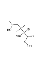 CCCCC(CC)(C(=O)OO)C(C)(C)CC(C)O